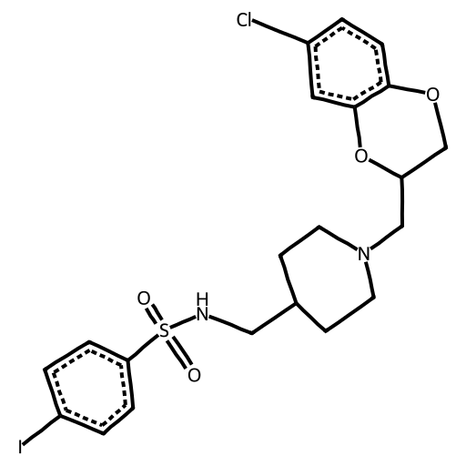 O=S(=O)(NCC1CCN(CC2COc3ccc(Cl)cc3O2)CC1)c1ccc(I)cc1